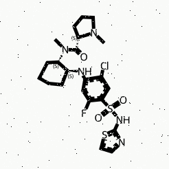 CN1CCC[C@H]1C(=O)N(C)[C@H]1CCCC[C@@H]1Nc1cc(F)c(S(=O)(=O)Nc2nccs2)cc1Cl